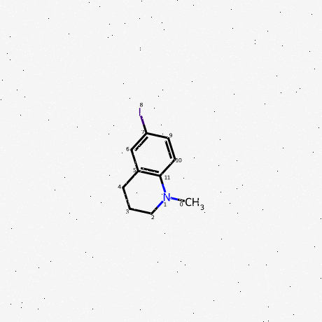 CN1CCCc2cc(I)ccc21